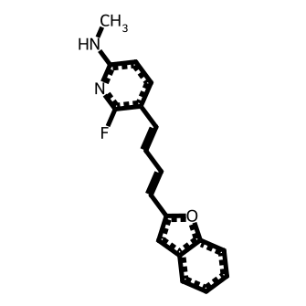 CNc1ccc(C=CC=Cc2cc3ccccc3o2)c(F)n1